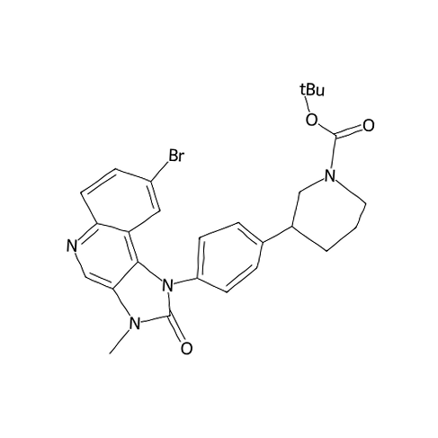 Cn1c(=O)n(-c2ccc(C3CCCN(C(=O)OC(C)(C)C)C3)cc2)c2c3cc(Br)ccc3ncc21